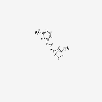 NC12CCC(C1)[C@@H](COCc1cccc(C(F)(F)F)c1)C2